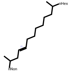 [CH2]CCCCCCCCC(C)C/C=C/CCCCCCC(C)CCCCC[CH2]